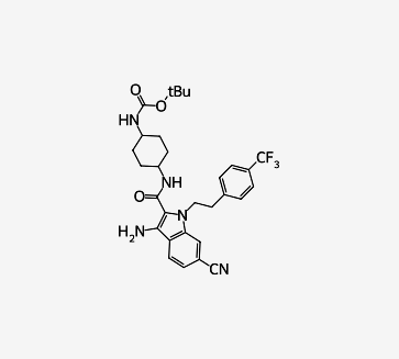 CC(C)(C)OC(=O)NC1CCC(NC(=O)c2c(N)c3ccc(C#N)cc3n2CCc2ccc(C(F)(F)F)cc2)CC1